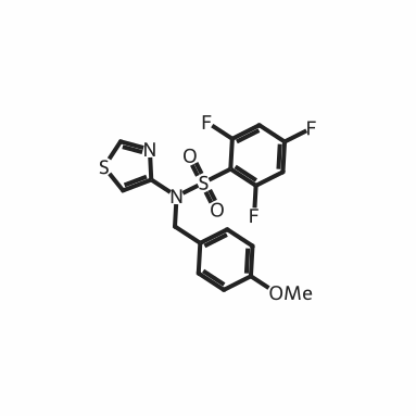 COc1ccc(CN(c2cscn2)S(=O)(=O)c2c(F)cc(F)cc2F)cc1